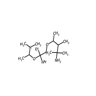 CCCC(CC)(COC(C)C(C)C(C)(C)N)OC(C)N(C)C